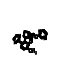 Cc1ccc(-n2nccn2)c(C23CCC(C(COc4cnccn4)C2)N3C=O)n1